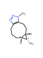 C[C@H]1[C@H]2CCc3c(nnn3C)CCC[C@@H]12